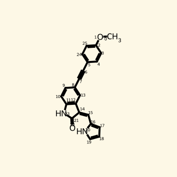 COc1ccc(C#Cc2ccc3c(c2)/C(=C/c2ccc[nH]2)C(=O)N3)cc1